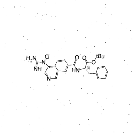 CC(C)(C)OC(=O)[C@H](Cc1ccccc1)NC(=O)c1ccc2c(N(Cl)C(=N)N)cncc2c1